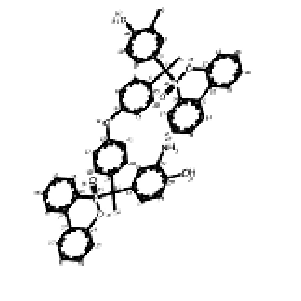 Cc1cc(C(C)(c2ccc(Oc3ccc(C(C)(c4ccc(O)c(N)c4)P4(=O)Oc5ccccc5-c5ccccc54)cc3)cc2)P2(=O)Oc3ccccc3-c3ccccc32)ccc1O